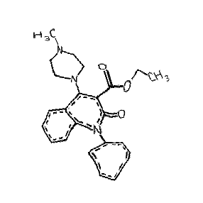 CCOC(=O)c1c(N2CCN(C)CC2)c2ccccc2n(-c2ccccc2)c1=O